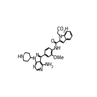 COc1cc(-c2nn(C3CCNCC3)c3ncnc(N)c23)ccc1NC(=O)c1cc2ccccc2n1CC(=O)O